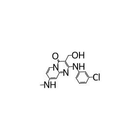 CNc1ccn2c(=O)c(CO)c(Nc3cccc(Cl)c3)nc2c1